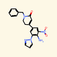 Nc1c(-n2cccn2)cc(C2=CC(=O)N(Cc3ccccc3)CC2)cc1[N+](=O)[O-]